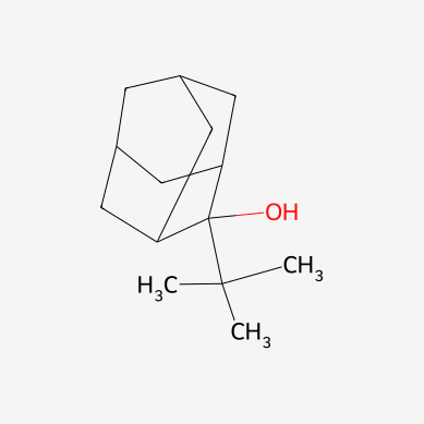 CC(C)(C)C1(O)C2CC3CC(C2)CC1C3